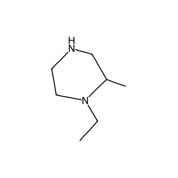 CCN1CCNCC1C